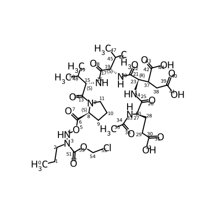 CCCN(NOC(=O)[C@@H]1CCCN1C(=O)[C@@H](NC(=O)[C@@H](NC(=O)[C@H](NC(=O)[C@@H](CCC(=O)O)NC(C)=O)C(CC(=O)O)C(=O)O)C(C)C)C(C)C)C(=O)OCCl